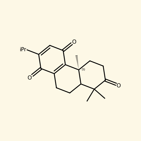 CC(C)C1=CC(=O)C2=C(CCC3C(C)(C)C(=O)CC[C@]23C)C1=O